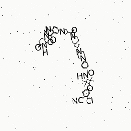 CC1(C)C(NC(=O)c2ccc(N3CCN(C4CC5(CCN(C(=O)C6CN(c7ccc8nnn(C9CCC(=O)NC9=O)c(=O)c8c7)C6)CC5)C4)CC3)cc2)C(C)(C)C1Oc1ccc(C#N)c(Cl)c1